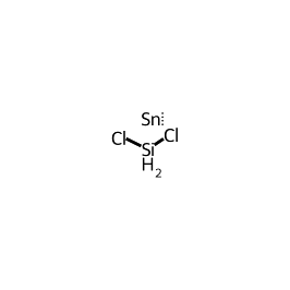 Cl[SiH2]Cl.[Sn]